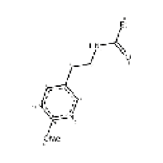 CCC(=O)NCCc1cnc(OC)nc1